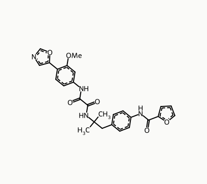 COc1cc(NC(=O)C(=O)NC(C)(C)Cc2ccc(NC(=O)c3ccco3)cc2)ccc1-c1cnco1